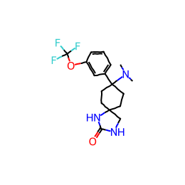 CN(C)C1(c2cccc(OC(F)(F)F)c2)CCC2(CC1)CNC(=O)N2